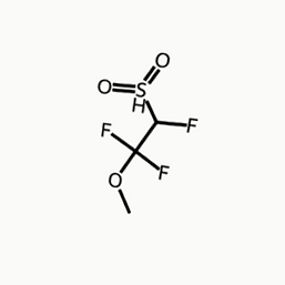 COC(F)(F)C(F)[SH](=O)=O